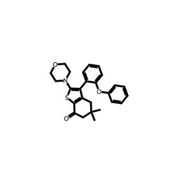 CC1(C)CC(=O)c2sc(N3CCOCC3)c(-c3ccccc3Oc3ccccc3)c2C1